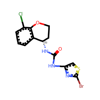 O=C(Nc1csc(Br)n1)N[C@H]1CCOc2c(Cl)cccc21